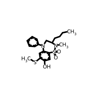 CCCCC1CN(c2ccccc2)c2cc(SC)c(O)cc2S(=O)(=O)N1C